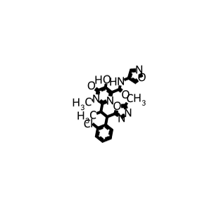 Cc1nnc(C(c2ccccc2Cl)C(C)c2nc(C(=O)Nc3cnoc3)c(O)c(=O)n2C)o1